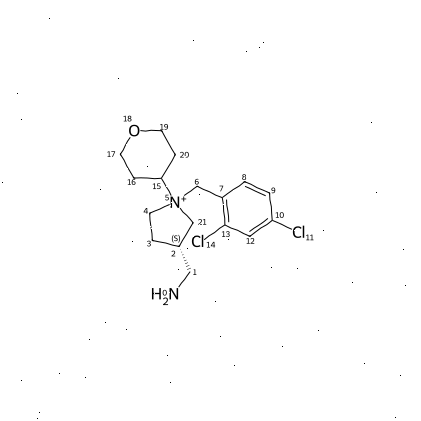 NC[C@@H]1CC[N+](Cc2ccc(Cl)cc2Cl)(C2CCOCC2)C1